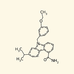 CCOc1cccc(Cn2c3cc(C(C)C)c[c]c3c3c(C(N)=O)cccc32)c1